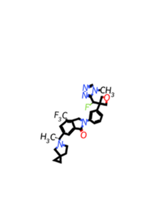 C[C@H](c1cc2c(c(C(F)(F)F)c1)CN(c1cccc(C3([C@@H](F)c4nncn4C)COC3)c1)C2=O)N1CCC2(CC2)C1